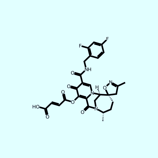 CC1=NO[C@@]2(CC[C@H](C)N3C[C@H]2n2cc(C(=O)NCc4ccc(F)cc4F)c(=O)c(OC(=O)/C=C/C(=O)O)c2C3=O)C1